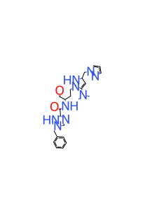 CN(C)C1=CC(Cn2cccn2)NN1CCC(C=O)NC(=O)C1N=CN(Cc2ccccc2)N1